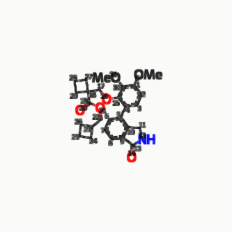 COc1ccc(-c2cccc3c2CNC3=O)c(OCC2(C(=O)OCC3CCC3)CCC2)c1OC